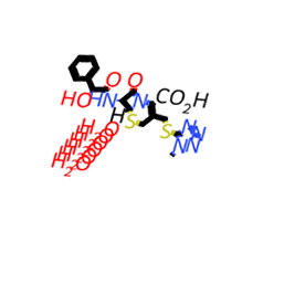 Cn1nnnc1SCC1=C(C(=O)O)N2C(=O)[C@@H](NC(=O)[C@H](O)c3ccccc3)[C@H]2SC1.O.O.O.O.O.O